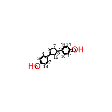 Oc1ccc(C2CCC(c3ccc(O)cc3)C2)cc1